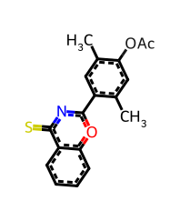 CC(=O)Oc1cc(C)c(-c2nc(=S)c3ccccc3o2)cc1C